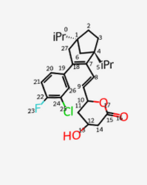 CC(C)[C@]12CC[C@@](C(C)C)(C1)C(/C=C/C1CC(O)CC(=O)O1)=C(c1ccc(F)c(Cl)c1)C2